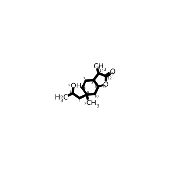 CC(O)CC1(C)CCC2C(C1)OC(=O)C2C